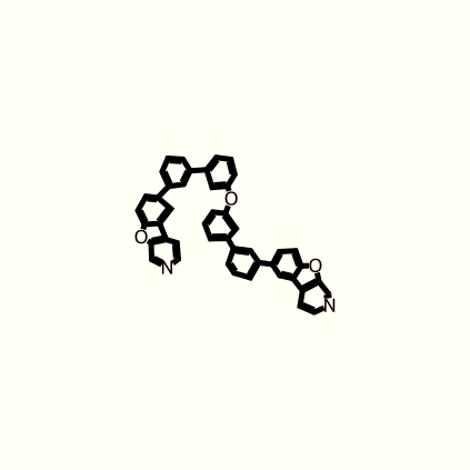 c1cc(Oc2cccc(-c3cccc(-c4ccc5oc6cnccc6c5c4)c3)c2)cc(-c2cccc(-c3ccc4oc5cnccc5c4c3)c2)c1